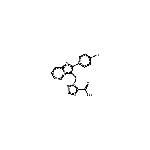 O=C(O)c1ncnn1Cc1c(-c2ccc(Cl)cc2)nc2ccccn12